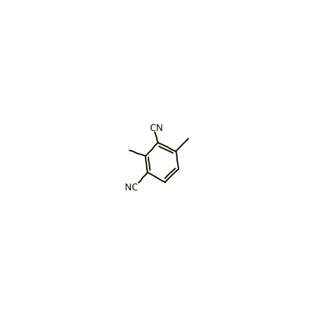 Cc1ccc(C#N)c(C)c1C#N